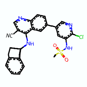 CS(=O)(=O)Nc1cc(-c2ccc3ncc(C#N)c(NC4Cc5ccccc54)c3c2)cnc1Cl